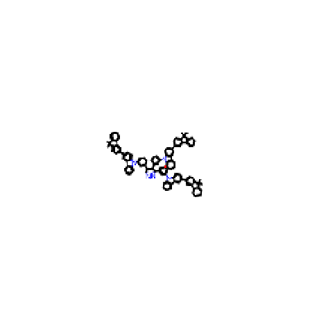 CC1(C)c2ccccc2-c2cc(-c3ccc4c(c3)c3ccccc3n4-c3cccc(-c4cnnc(-c5cccc(-n6c7ccccc7c7cc(-c8ccc9c(c8)-c8ccccc8C9(C)C)ccc76)c5)c4-c4cccc(-n5c6ccccc6c6cc(-c7ccc8c(c7)-c7ccccc7C8(C)C)ccc65)c4)c3)ccc21